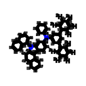 [2H]c1c([2H])c([2H])c(-c2cc(-c3c([2H])c([2H])c([2H])c([2H])c3[2H])cc(N(c3ccccc3)c3ccc4c5c6ccccc6ccc5n(-c5cccc6ccccc56)c4c3)c2)c([2H])c1[2H]